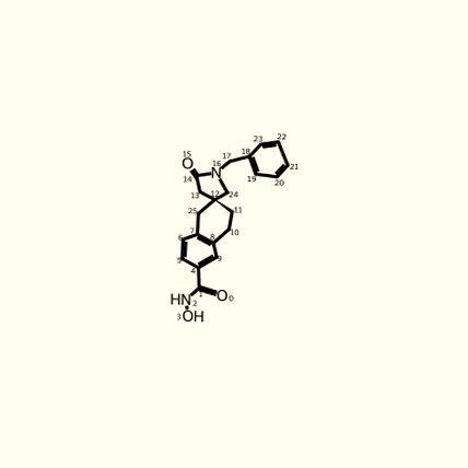 O=C(NO)c1ccc2c(c1)CC[C@]1(CC(=O)N(Cc3ccccc3)C1)C2